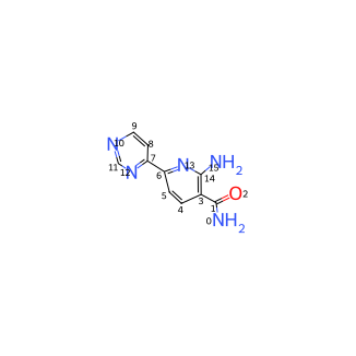 NC(=O)c1ccc(-c2ccncn2)nc1N